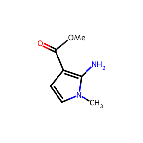 COC(=O)c1ccn(C)c1N